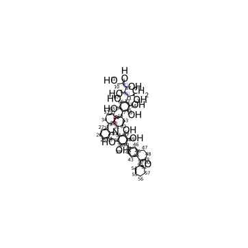 C=C(O)/C(=C(O)\C(O)=C(\O)CO)c1c(O)c(O)c(C2=CCC(N(c3ccccc3C3C=CC=CC3)c3c(O)c(O)c(-c4ccc5c(c4)CCc4oc6c(c4-5)C=CCC6)c(O)c3O)C=C2)c(O)c1O